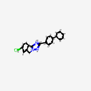 Clc1ccc2c(c1)Cn1nc(-c3ccc(-c4ccccc4)cc3)nc1-2